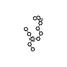 c1ccc(-c2ccc(-c3nc(-c4cccc(-c5ccccc5)c4)nc(-c4cccc(-c5cccc(-c6cccc(-c7ccc8oc9ccc%10ccccc%10c9c8c7)c6)c5)c4)n3)cc2)cc1